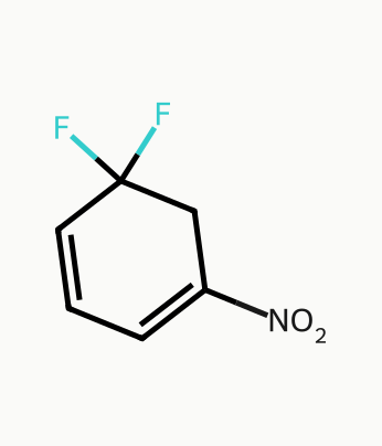 O=[N+]([O-])C1=CC=CC(F)(F)C1